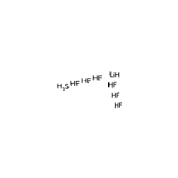 F.F.F.F.F.F.S.[LiH]